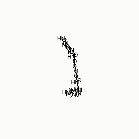 N=C(c1cnc2[nH]ccc2c1)c1c(N)ncnc1NCCCCNC(=O)CCOCCOCCOCCOCCNC(=O)c1cnc(N2CCN(c3ncc4c(n3)CCNC4)CC2)nc1